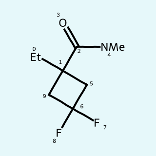 CCC1(C(=O)NC)CC(F)(F)C1